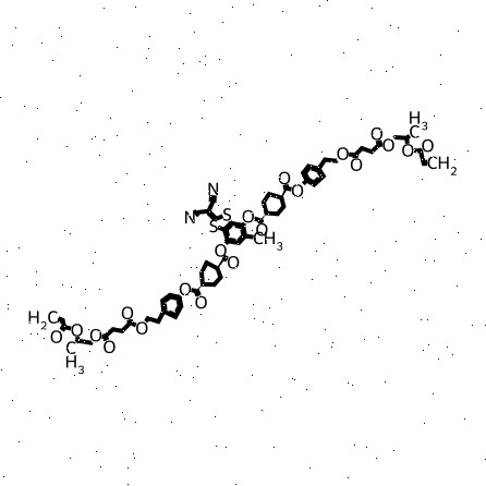 C=CC(=O)OC(C)COC(=O)CCC(=O)OCCc1ccc(OC(=O)[C@H]2CC[C@H](C(=O)Oc3cc(C)c(OC(=O)[C@H]4CC[C@H](C(=O)Oc5ccc(CCOC(=O)CCC(=O)OCC(C)OC(=O)C=C)cc5)CC4)c4c3SC(=C(C#N)C#N)S4)CC2)cc1